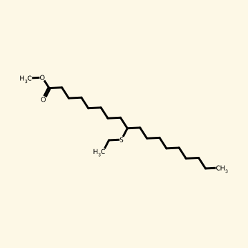 CCCCCCCCCC(CCCCCCCC(=O)OC)SCC